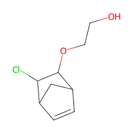 OCCOC1C2C=CC(C2)C1Cl